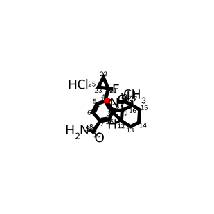 CO[C@]1(c2cccc(C(N)=O)c2)[C@@H]2CCC[C@H]1CN(CC1(F)CC1)C2.Cl